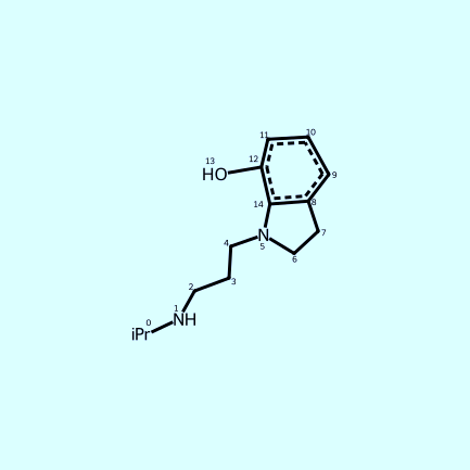 CC(C)NCCCN1CCc2cccc(O)c21